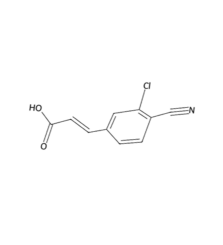 N#Cc1ccc(/C=C/C(=O)O)cc1Cl